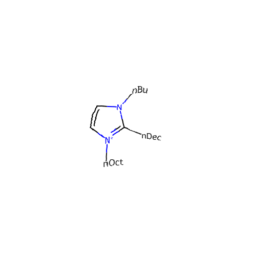 CCCCCCCCCCc1n(CCCC)cc[n+]1CCCCCCCC